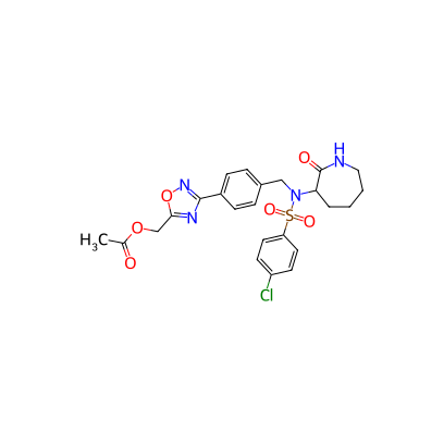 CC(=O)OCc1nc(-c2ccc(CN(C3CCCCNC3=O)S(=O)(=O)c3ccc(Cl)cc3)cc2)no1